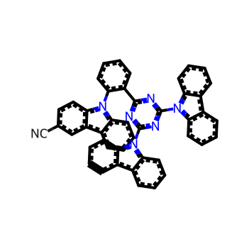 N#Cc1ccc2c(c1)c1ccccc1n2-c1ccccc1-c1nc(-n2c3ccc#cc3c3ccccc32)nc(-n2c3ccccc3c3ccccc32)n1